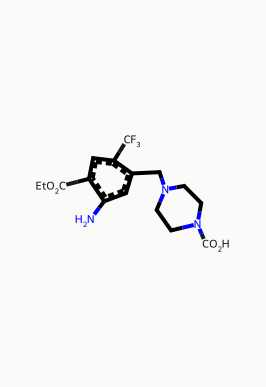 CCOC(=O)c1cc(C(F)(F)F)c(CN2CCN(C(=O)O)CC2)cc1N